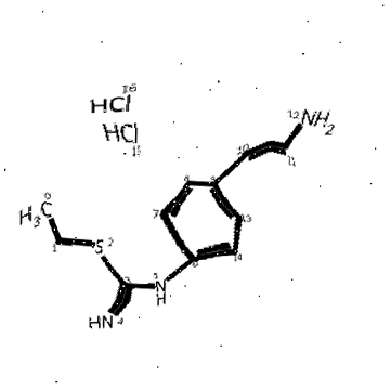 CCSC(=N)Nc1ccc(C=CN)cc1.Cl.Cl